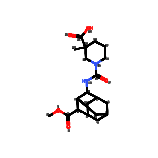 COC(=O)C1C2CC3CC(C2)C(NC(=O)N2CCCC(C)(C(=O)O)C2)C1C3